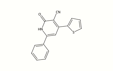 N#Cc1c(-c2cccs2)cc(-c2ccccc2)[nH]c1=O